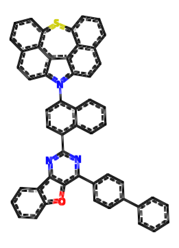 c1ccc(-c2ccc(-c3nc(-c4ccc(-n5c6ccc7cccc8sc9cccc%10ccc5c(c%109)c6c78)c5ccccc45)nc4c3oc3ccccc34)cc2)cc1